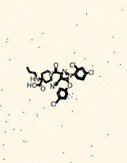 CCCNC1(C(=O)O)CCN(C(=O)c2nn(-c3ccc(Cl)cc3Cl)c(Oc3ccc(Cl)cc3)c2C#N)CC1